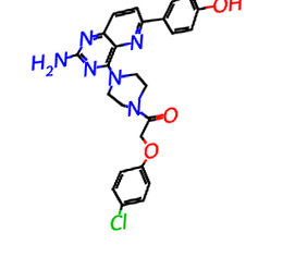 Nc1nc(N2CCN(C(=O)COc3ccc(Cl)cc3)CC2)c2nc(-c3ccc(O)cc3)ccc2n1